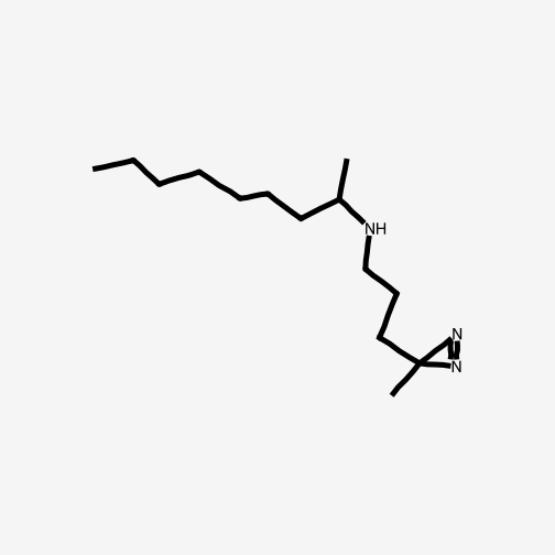 CCCCCCCC(C)NCCCC1(C)N=N1